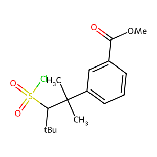 COC(=O)c1cccc(C(C)(C)C(C(C)(C)C)S(=O)(=O)Cl)c1